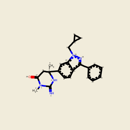 CN1C(=N)N[C@](C)(c2ccc3c(-c4ccccc4)nn(CC4CC4)c3c2)CC1=O